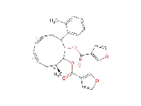 Cc1ccccc1C1C/C=C\C=C/C[C@H](C)C(OC(=O)c2ccoc2)C1OC(=O)c1ccoc1